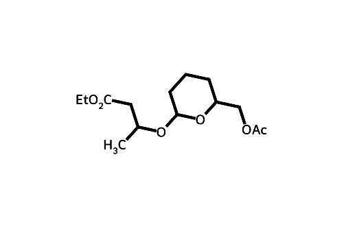 CCOC(=O)CC(C)OC1CCCC(COC(C)=O)O1